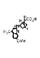 COc1ccc2c(C)cc(N[C@H]3C[C@@H]4C[C@H]3[C@@H](NC(=O)O)C4)nc2c1